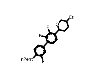 CCCCCc1ccc(-c2ccc(C3CCC(CC)CO3)c(F)c2F)cc1F